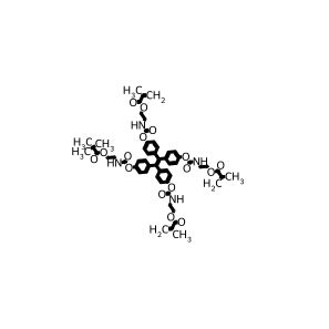 C=C(C)C(=O)OCCNC(=O)Oc1ccc(C(=C(c2ccc(OC(=O)NCCOC(=O)C(=C)C)cc2)c2ccc(OC(=O)NCCOC(=O)C(C)(C)C)cc2)c2ccc(OC(=O)NCCOC(=O)C(=C)C)cc2)cc1